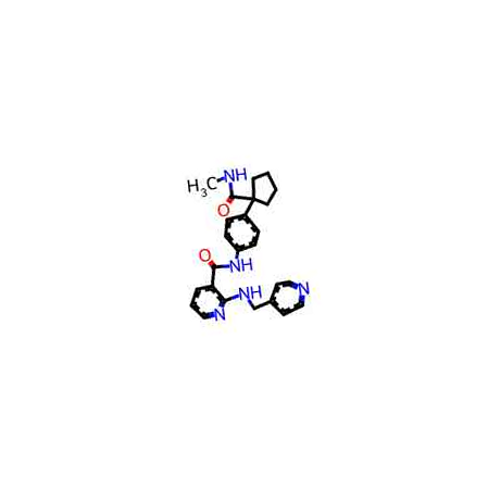 CNC(=O)C1(c2ccc(NC(=O)c3cccnc3NCc3ccncc3)cc2)CCCC1